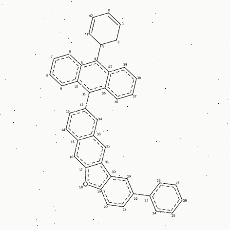 C1=CCC(c2c3ccccc3c(-c3ccc4cc5oc6ccc(-c7ccccc7)cc6c5cc4c3)c3ccccc23)C=C1